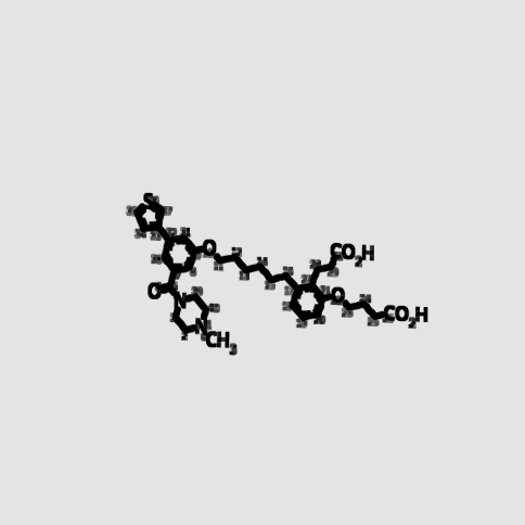 CN1CCN(C(=O)c2cc(OCCCCCCc3cccc(OCCCC(=O)O)c3CCC(=O)O)cc(-c3ccsc3)c2)CC1